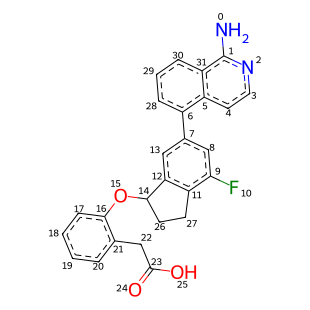 Nc1nccc2c(-c3cc(F)c4c(c3)C(Oc3ccccc3CC(=O)O)CC4)cccc12